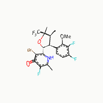 COc1c([C@H]2[C@H](c3[nH]c(C)c(F)c(=O)c3Br)O[C@@](C)(C(F)(F)F)[C@H]2C)ccc(F)c1F